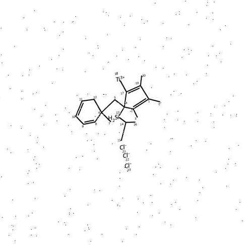 CC1=C(C)C(CC2(C)C=CC=CC2)([SiH2]C(C)C)[C]([Ti+3])=C1C.[Cl-].[Cl-].[Cl-]